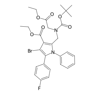 CCOC(=O)CN(Cc1c(C(=O)OCC)c(Br)c(-c2ccc(F)cc2)n1-c1ccccc1)C(=O)OC(C)(C)C